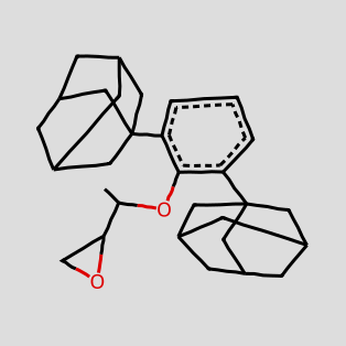 CC(Oc1c(C23CC4CC(CC(C4)C2)C3)cccc1C12CC3CC(CC(C3)C1)C2)C1CO1